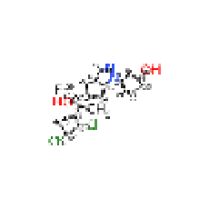 CC(c1ccc(Cl)cc1Cl)C(O)(c1ccc2c(cnn2-c2cccc(O)c2)c1)C(F)(F)F